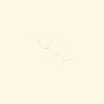 Cc1cc(C(C)N(O)C(N)=O)c(C)o1